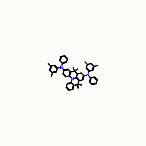 CC1=CC(N(C2=CC3=C4C(C2)C(C)(C)c2cc(N(c5ccccc5)c5cc(C)cc(C)c5)ccc2N4c2ccccc2C3(C)C)c2ccccc2)=CC(C)C1